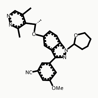 COc1cc(C#N)cc(-c2nn(C3CCCCO3)c3ccc(O[C@@H](C)c4c(C)cnnc4C)cc23)c1